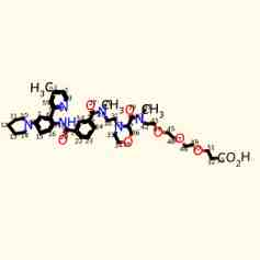 Cc1ccnc(-c2cc(N3CCCCC3)ccc2NC(=O)c2cccc(C(=O)N(C)CCN3CCOCC3C(=O)N(C)CCOCCOCCOCCC(=O)O)c2)c1